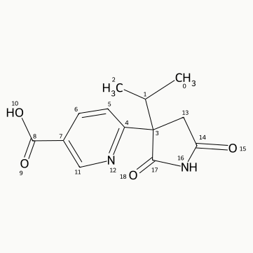 CC(C)C1(c2ccc(C(=O)O)cn2)CC(=O)NC1=O